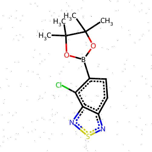 CC1(C)OB(c2ccc3nsnc3c2Cl)OC1(C)C